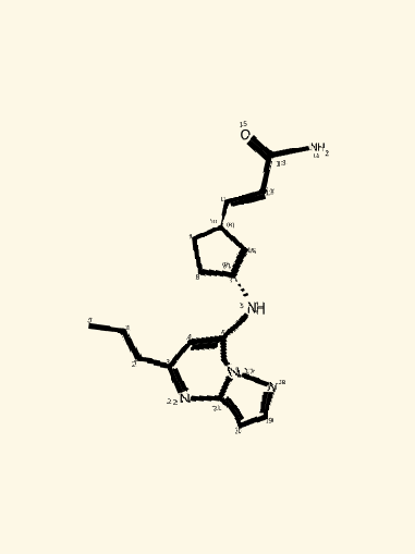 CCCc1cc(N[C@@H]2CC[C@@H](C=CC(N)=O)C2)n2nccc2n1